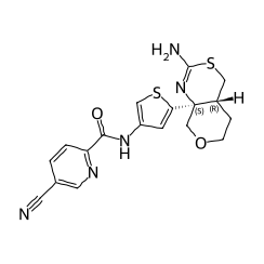 N#Cc1ccc(C(=O)Nc2csc([C@@]34COCC[C@H]3CSC(N)=N4)c2)nc1